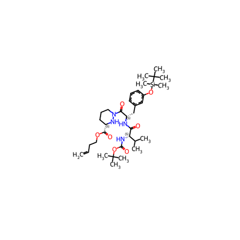 C=CCCOC(=O)[C@@H]1CCCN(C(=O)[C@H](Cc2cccc(O[Si](C)(C)C(C)(C)C)c2)NC(=O)[C@@H](NC(=O)OC(C)(C)C)C(C)C)N1